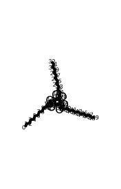 CCCCCCCCCCCCS(=O)(=O)c1cc(S(=O)(=O)CCCCCCCCCCCC)cc(S(=O)(=O)CCCCCCCCCCCC)c1